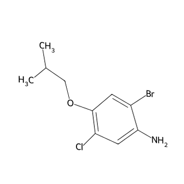 CC(C)COc1cc(Br)c(N)cc1Cl